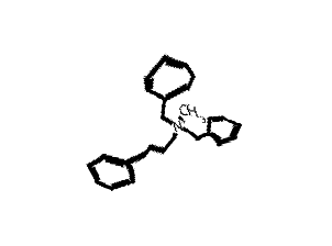 C[N+](CCc1ccccc1)(Cc1ccccc1)Cc1ccccc1